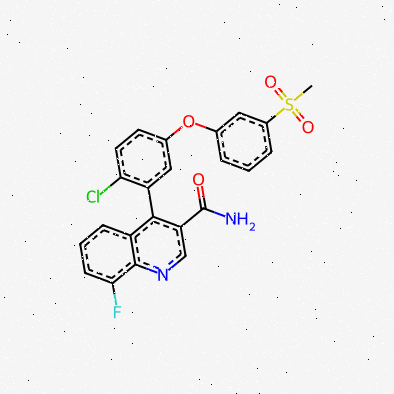 CS(=O)(=O)c1cccc(Oc2ccc(Cl)c(-c3c(C(N)=O)cnc4c(F)cccc34)c2)c1